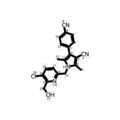 Cc1c(C#N)c(-c2ccc(C#N)cc2)c(C)n1Cc1ccc(Cl)c(CO)n1